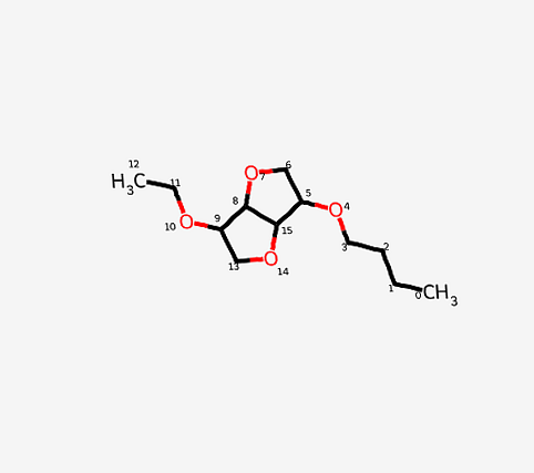 CCCCOC1COC2C(OCC)COC12